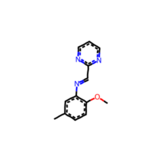 COc1ccc(C)cc1N=Cc1ncccn1